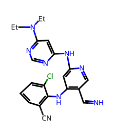 CCN(CC)c1cc(Nc2cc(Nc3c(Cl)cccc3C#N)c(C=N)cn2)ncn1